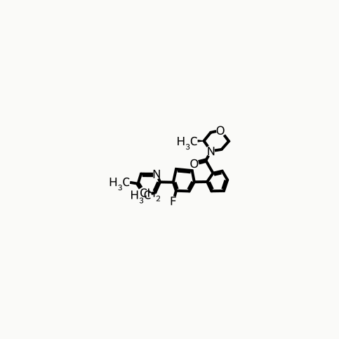 C=C(C)/C=N\C(=C/C)c1ccc(-c2ccccc2C(=O)N2CCOC[C@@H]2C)cc1F